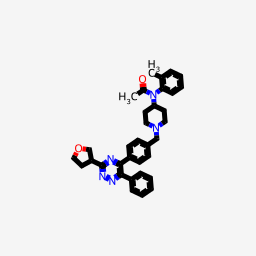 CC(=O)N(c1ccccc1C)C1CCN(Cc2ccc(-c3nc(C4CCOC4)nnc3-c3ccccc3)cc2)CC1